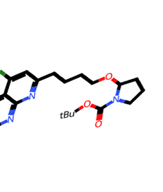 CC(C)(C)OC(=O)N1CCCC1OCCCCc1cc(Cl)c2cccnc2n1